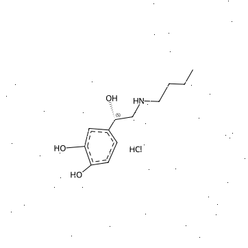 CCCCNC[C@@H](O)c1ccc(O)c(O)c1.Cl